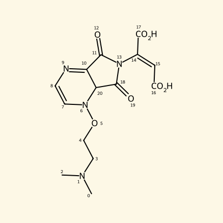 CN(C)CCON1C=CN=C2C(=O)N(/C(=C\C(=O)O)C(=O)O)C(=O)C21